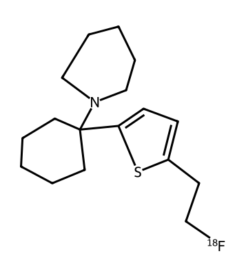 [18F]CCc1ccc(C2(N3CCCCC3)CCCCC2)s1